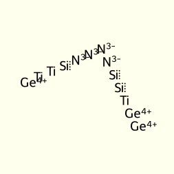 [Ge+4].[Ge+4].[Ge+4].[N-3].[N-3].[N-3].[N-3].[Si].[Si].[Si].[Ti].[Ti].[Ti]